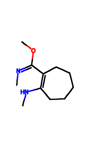 C/N=C(/OC)C1=C(NC)CCCCC1